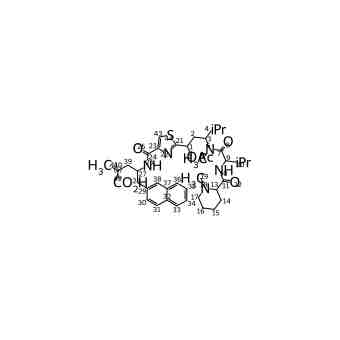 CC(=O)OC(CC(C(C)C)N(C)C(=O)C(NC(=O)C1CCCCN1C)C(C)C)c1nc(C(=O)NC(Cc2ccc3ccccc3c2)C[C@H](C)C(=O)O)cs1